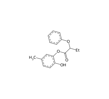 CCC(Oc1ccccc1)C(=O)Oc1cc(C)ccc1O